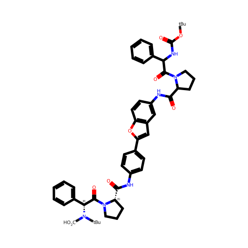 CC(C)(C)OC(=O)NC(C(=O)N1CCCC1C(=O)Nc1ccc2oc(-c3ccc(NC(=O)[C@@H]4CCCN4C(=O)[C@@H](c4ccccc4)N(C(=O)O)C(C)(C)C)cc3)cc2c1)c1ccccc1